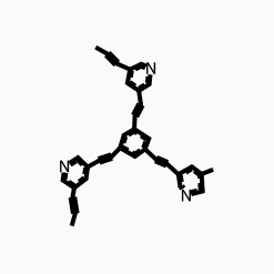 CC#Cc1cncc(C#Cc2cc(C#Cc3cncc(C)c3)cc(C#Cc3cncc(C#CC)c3)c2)c1